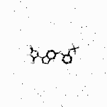 O=C1NC(=O)C([C@@H]2CCc3cc(Oc4ccccc4OC(F)(F)F)ccc32)S1